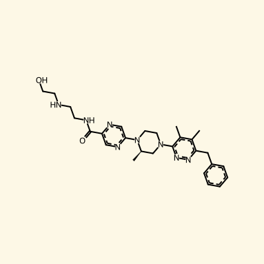 Cc1c(Cc2ccccc2)nnc(N2CCN(c3cnc(C(=O)NCCNCCO)cn3)[C@H](C)C2)c1C